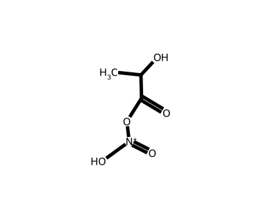 CC(O)C(=O)O[N+](=O)O